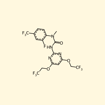 CN(C(=O)Nc1nc(OCC(F)(F)F)cc(OCC(F)(F)F)n1)c1ccc(C(F)(F)F)cc1F